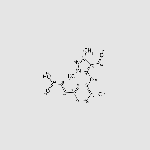 Cc1nn(C)c(Oc2cc(/C=C/C(=O)O)ccc2Cl)c1C=O